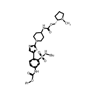 CC(C)OC(=O)Nc1ccc(-c2cnc(N3CCC(NC(=O)OC[C@@H]4CCCN4C)CC3)s2)c(S(=O)(=O)NC(C)(C)C)c1